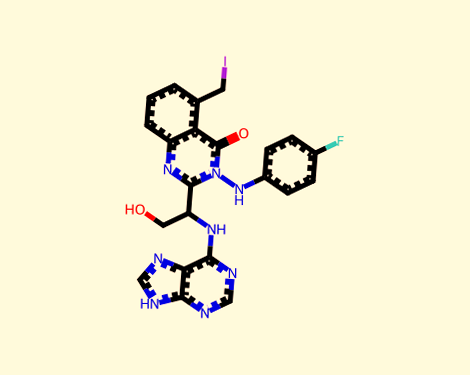 O=c1c2c(CI)cccc2nc(C(CO)Nc2ncnc3[nH]cnc23)n1Nc1ccc(F)cc1